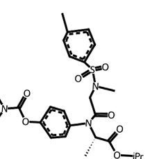 Cc1ccc(S(=O)(=O)N(C)CC(=O)N(c2ccc(OC(=O)N(C)C)cc2)[C@@H](C)C(=O)OC(C)C)cc1